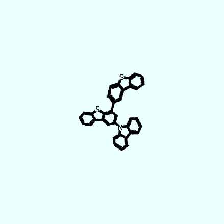 c1ccc2c(c1)sc1ccc(-c3cc(-n4c5ccccc5c5ccccc54)cc4c3sc3ccccc34)cc12